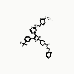 COc1ccc(CNc2nccc(-c3[nH]c(C4CCN(C(=O)OCc5ccccc5)CC4)nc3-c3cccc(C(F)(F)F)c3)n2)cc1